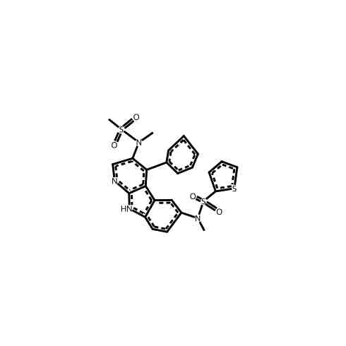 CN(c1cnc2[nH]c3ccc(N(C)S(=O)(=O)c4cccs4)cc3c2c1-c1ccccc1)S(C)(=O)=O